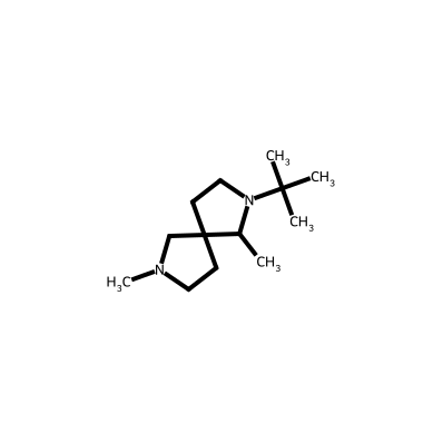 CC1N(C(C)(C)C)CCC12CCN(C)C2